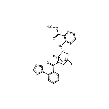 COC(=O)c1nccnc1N[C@@H]1C[C@H]2C[C@@H]1N(C(=O)c1ccccc1-n1nccn1)C2